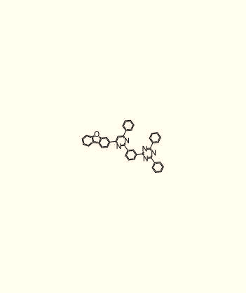 c1ccc(-c2cc(-c3ccc4c(c3)oc3ccccc34)nc(-c3cccc(-c4nc(-c5ccccc5)nc(-c5ccccc5)n4)c3)n2)cc1